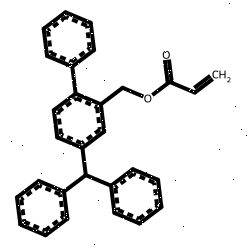 C=CC(=O)OCc1cc(C(c2ccccc2)c2ccccc2)ccc1-c1ccccc1